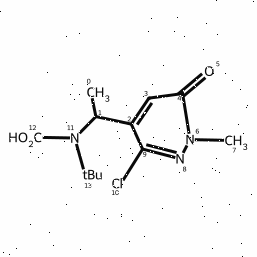 CC(c1cc(=O)n(C)nc1Cl)N(C(=O)O)C(C)(C)C